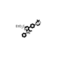 CCOC(=O)c1cc(-c2ccc(N3CCOC(C)(C)C3)cc2)c2c(C)nn(-c3ccccc3)c2n1